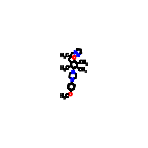 COc1ccc(N2CCN(c3c(C)c(C)c4c(c3C)CC(C)(Cn3cccn3)O4)CC2)cc1